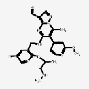 CNCC(C)Oc1ncc(F)cc1CNc1nc2c(C=O)cnn2c(N)c1-c1ccnc(OC)c1